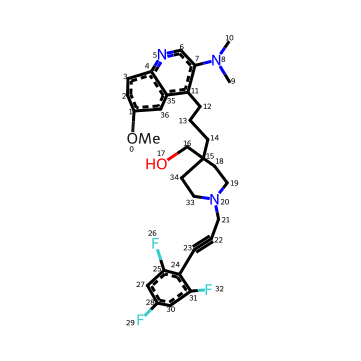 COc1ccc2ncc(N(C)C)c(CCCC3(CO)CCN(CC#Cc4c(F)cc(F)cc4F)CC3)c2c1